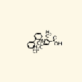 Cc1cc(C(=O)O)c(C)n1C1(Cl)CC=CC=C1c1cccc(Cl)c1